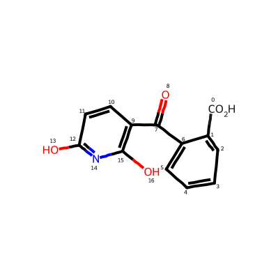 O=C(O)c1ccccc1C(=O)c1ccc(O)nc1O